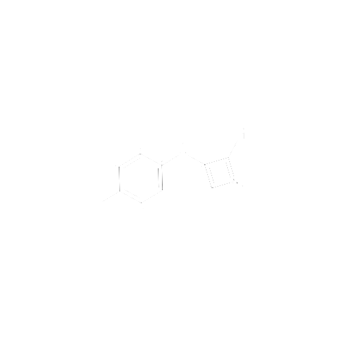 Fc1ccc(OC2=CN=C2Cl)cc1